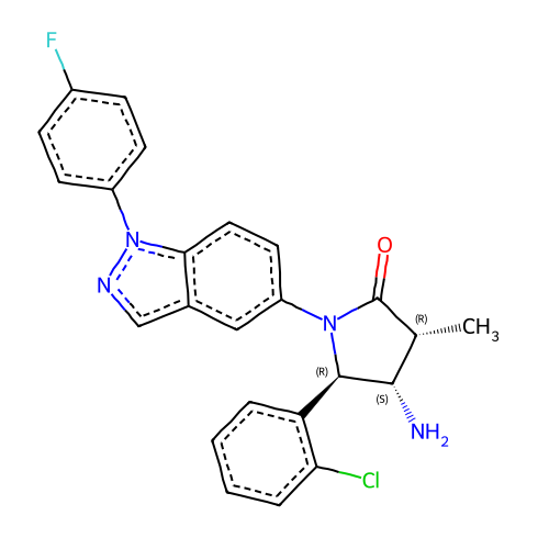 C[C@H]1C(=O)N(c2ccc3c(cnn3-c3ccc(F)cc3)c2)[C@H](c2ccccc2Cl)[C@H]1N